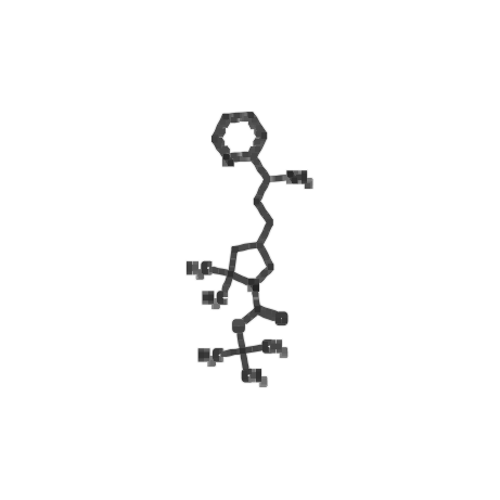 CC(C)(C)OC(=O)N1CC(CCC(N)c2ccccn2)CC1(C)C